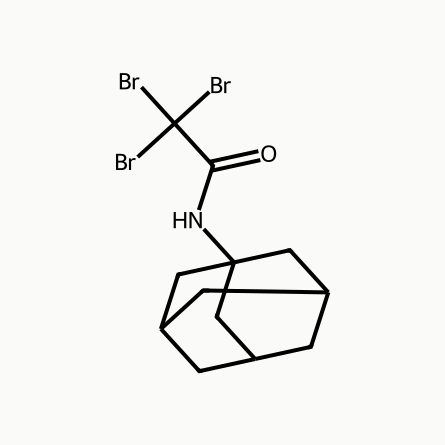 O=C(NC12CC3CC(CC(C3)C1)C2)C(Br)(Br)Br